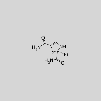 CCC1(C(N)=O)NC(C)=C(C(N)=O)S1